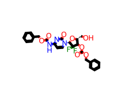 O=C(Nc1ccn([C@@H]2O[C@H](CO)C(OC(=O)OCc3ccccc3)C2(F)F)c(=O)n1)OCc1ccccc1